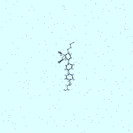 CCCCc1ccc(-c2ccc(-c3ccc(OCCC)cc3)cc2)c(C#N)c1C#N